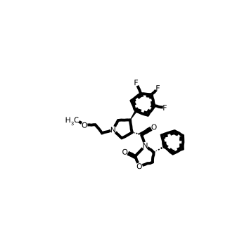 COCCN1C[C@@H](C(=O)N2C(=O)OC[C@H]2c2ccccc2)[C@H](c2cc(F)c(F)c(F)c2)C1